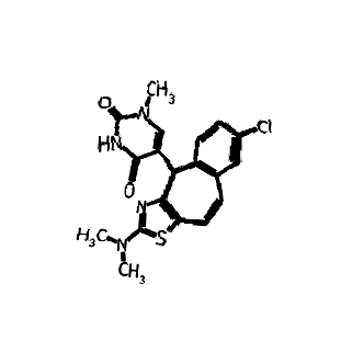 CN(C)c1nc2c(s1)C=Cc1cc(Cl)ccc1C2c1cn(C)c(=O)[nH]c1=O